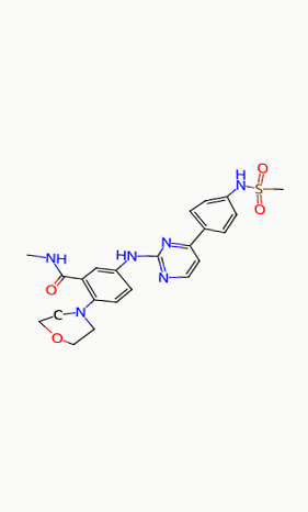 CNC(=O)c1cc(Nc2nccc(-c3ccc(NS(C)(=O)=O)cc3)n2)ccc1N1CCOCC1